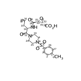 Cc1ccc(S(=O)(=O)N2CCN(C(=O)C(CC(C)C)NC(=O)[C@H]3O[C@@H]3C(=O)O)CC2)cc1